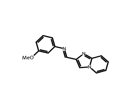 COc1cccc(N=Cc2cn3ccccc3n2)c1